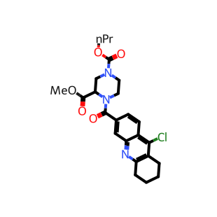 CCCOC(=O)N1CCN(C(=O)c2ccc3c(Cl)c4c(nc3c2)CCCC4)C(C(=O)OC)C1